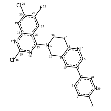 Cc1ccc(-c2cnc3c(c2)CN(c2nc(Cl)nc4cc(Cl)c(F)cc24)CC3)cn1